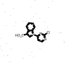 O=C(O)c1cn(-c2ccnc(Cl)n2)c2ccccc12